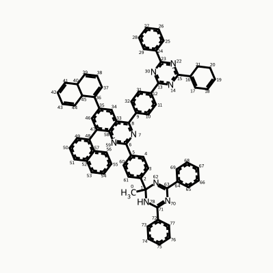 CC1(c2ccc(-c3nc(-c4ccc(-c5nc(C6=CC=CCC6)nc(-c6ccccc6)n5)cc4)c4cc(C5=CC=CC6C=CC=CC56)cc(-c5cccc6ccccc56)c4n3)cc2)N=C(c2ccccc2)N=C(c2ccccc2)N1